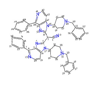 N#CC(c1nc2c(-c3ccccc3)nccc2n1C1CCN(Cc2ccccc2)CC1)c1nc2c(-c3ccccc3)nccc2n1C1CCN(Cc2ccccc2)CC1